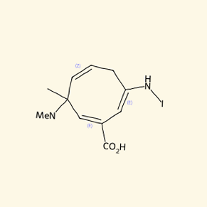 CNC1(C)/C=C\C/C(NI)=C\C(C(=O)O)=C/1